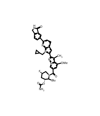 COc1cc(C(=O)N2C[C@H](F)C[C@@H](OC(N)=O)C2C(C)(C)C)cn2nc(-c3cc4ccc(-c5ccc6c(c5)C(=O)NC6)nc4n3CC3CC3)c(C)c12